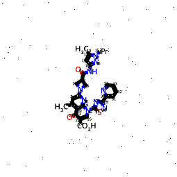 Cc1cc(N2CC(C(=O)Nc3cc(C)n(C(C)C)n3)C2)nc2c1c(=O)c(C(=O)O)cn2-c1nc(-c2ccccn2)ns1